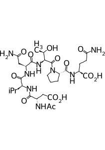 CC(=O)N[C@@H](CC(=O)O)C(=O)N[C@H](C(=O)N[C@@H](CC(N)=O)C(=O)N[C@H](C(=O)N1CCC[C@H]1C(=O)N[C@@H](CCC(N)=O)C(=O)O)[C@@H](C)O)C(C)C